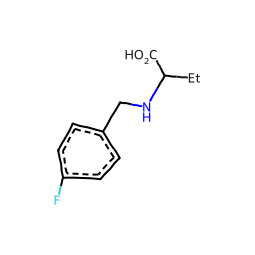 CCC(NCc1ccc(F)cc1)C(=O)O